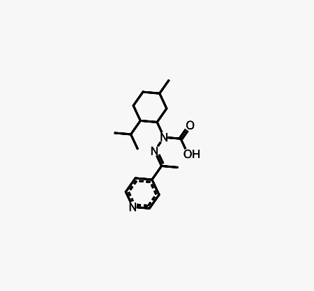 C/C(=N\N(C(=O)O)C1CC(C)CCC1C(C)C)c1ccncc1